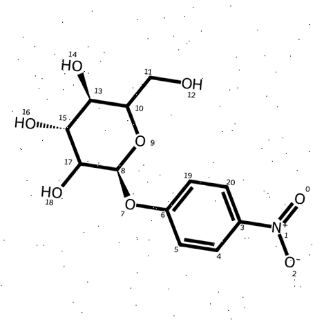 O=[N+]([O-])c1ccc(O[C@@H]2OC(CO)[C@H](O)[C@@H](O)C2O)cc1